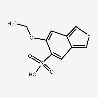 CCOc1cc2cscc2cc1S(=O)(=O)O